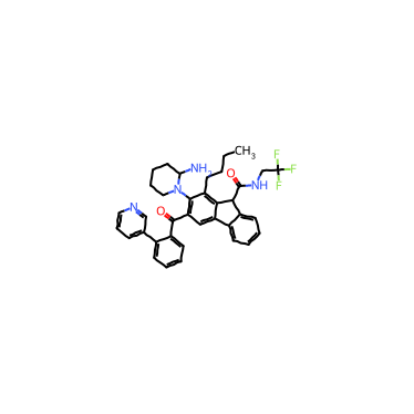 CCCCc1c2c(cc(C(=O)c3ccccc3-c3cccnc3)c1N1CCCCC1N)-c1ccccc1C2C(=O)NCC(F)(F)F